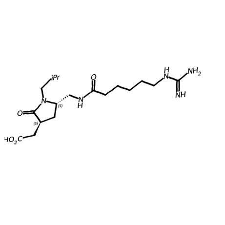 CC(C)CN1C(=O)[C@H](CC(=O)O)C[C@H]1CNC(=O)CCCCCNC(=N)N